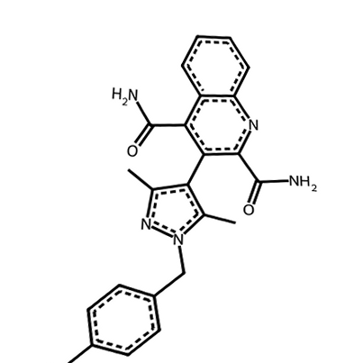 Cc1nn(Cc2ccc(C(C)(C)C)cc2)c(C)c1-c1c(C(N)=O)nc2ccccc2c1C(N)=O